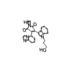 Cl.O=C1NC(=O)C(c2cccc3nccn23)=C1c1cn(CCCO)c2ccccc12